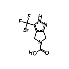 O=C(O)N1Cc2n[nH]c(C(F)(F)Br)c2C1